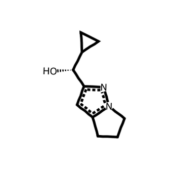 O[C@@H](c1cc2n(n1)CCC2)C1CC1